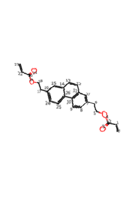 C=CC(=O)OCCc1ccc2c(ccc3cc(CCOC(=O)C=C)ccc32)c1